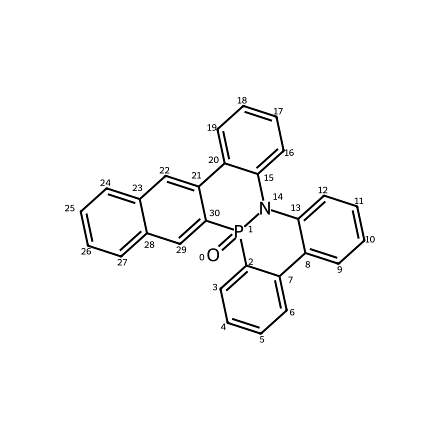 O=P12c3ccccc3-c3ccccc3N1c1ccccc1-c1cc3ccccc3cc12